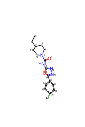 CCC1CCN(C(=O)Nc2nnc(-c3ccc(F)cc3)o2)CC1